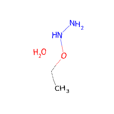 CCONN.O